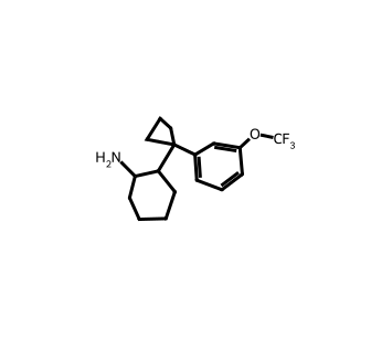 NC1CCCCC1C1(c2cccc(OC(F)(F)F)c2)CCC1